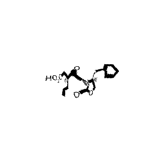 C=CC[C@@H](CC(=O)O)C(=O)N1C(=O)OC[C@H]1Cc1ccccc1